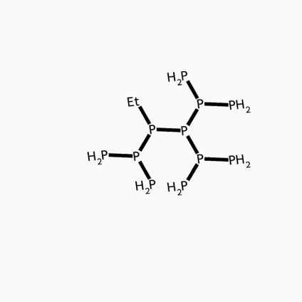 CCP(P(P)P)P(P(P)P)P(P)P